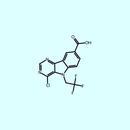 O=C(O)c1ccc2c(c1)c1ncnc(Cl)c1n2CC(F)(F)F